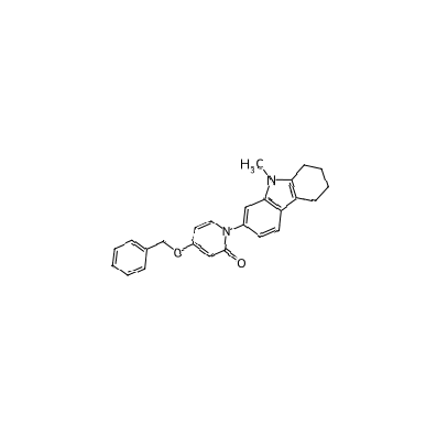 Cn1c2c(c3ccc(-n4ccc(OCc5ccccc5)cc4=O)cc31)CCCC2